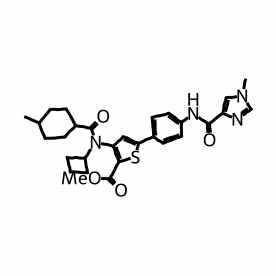 COC(=O)c1sc(-c2ccc(NC(=O)c3cn(C)cn3)cc2)cc1N(C(=O)C1CCC(C)CC1)C1CCC1